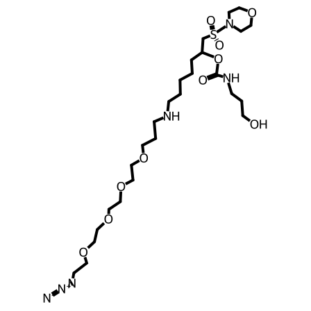 [N-]=[N+]=NCCOCCOCCOCCOCCCNCCCCCC(CS(=O)(=O)N1CCOCC1)OC(=O)NCCCO